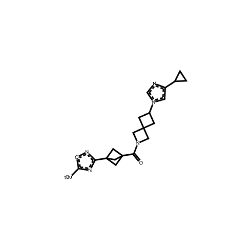 CC(C)(C)c1nc(C23CC(C(=O)N4CC5(CC(n6cnc(C7CC7)c6)C5)C4)(C2)C3)no1